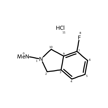 CNN1Cc2cccc(F)c2C1.Cl